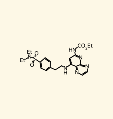 CCOC(=O)Nc1cc(NCCc2ccc(S(=O)(=O)N(CC)CC)cc2)c2nccnc2n1